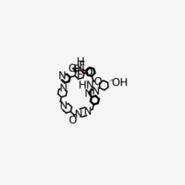 O=C1CCC(c2cncc(N3CCC(CN4CCC(C(=O)N5CCN(Cc6ccc7c(c6)nc(NC(=O)c6cccc(C(F)(F)F)c6)n7[C@H]6CC[C@@H](CO)CC6)CC5)CC4)CC3)c2)C(=O)N1